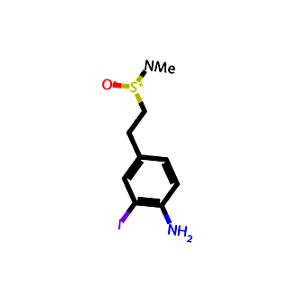 CN[S+]([O-])CCc1ccc(N)c(I)c1